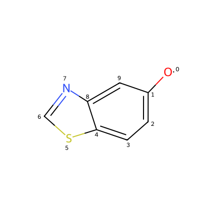 [O]c1ccc2scnc2c1